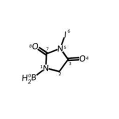 BN1CC(=O)N(I)C1=O